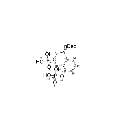 CCCCCCCCCCCCOP(=O)(O)O.O=P(O)(O)Oc1ccccc1